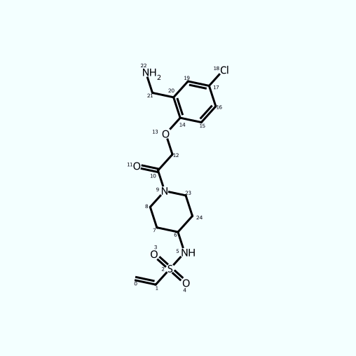 C=CS(=O)(=O)NC1CCN(C(=O)COc2ccc(Cl)cc2CN)CC1